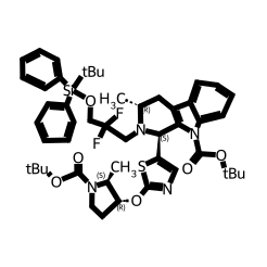 C[C@@H]1Cc2c(n(C(=O)OC(C)(C)C)c3ccccc23)[C@@H](c2cnc(O[C@@H]3CCN(C(=O)OC(C)(C)C)[C@H]3C)s2)N1CC(F)(F)CO[Si](c1ccccc1)(c1ccccc1)C(C)(C)C